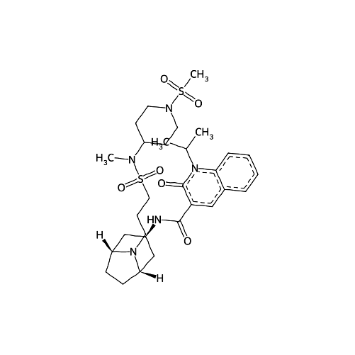 CC(C)n1c(=O)c(C(=O)N[C@@H]2C[C@H]3CC[C@@H](C2)N3CCCS(=O)(=O)N(C)C2CCN(S(C)(=O)=O)CC2)cc2ccccc21